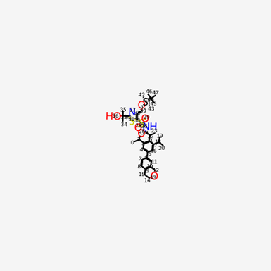 CC(C)c1cc(-c2ccc3c(c2)COCC3)cc(C(C)C)c1C(C)C(=O)NS(=O)(=O)c1sc(C(C)(C)O)nc1CO[Si](C)(C)C(C)(C)C